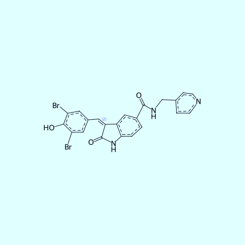 O=C1Nc2ccc(C(=O)NCc3ccncc3)cc2/C1=C/c1cc(Br)c(O)c(Br)c1